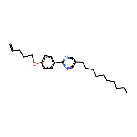 C=CCCCOc1ccc(-c2ncc(CCCCCCCCCC)cn2)cc1